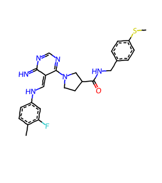 CSc1ccc(CNC(=O)C2CCN(C3=NC=NC(=N)/C3=C\Nc3ccc(C)c(F)c3)C2)cc1